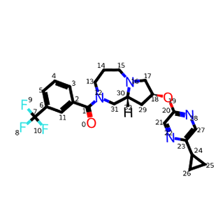 O=C(c1cccc(C(F)(F)F)c1)N1CCCN2C[C@@H](Oc3cnc(C4CC4)cn3)C[C@@H]2C1